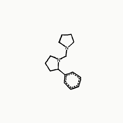 c1ccc(C2CCCN2CN2CCCC2)cc1